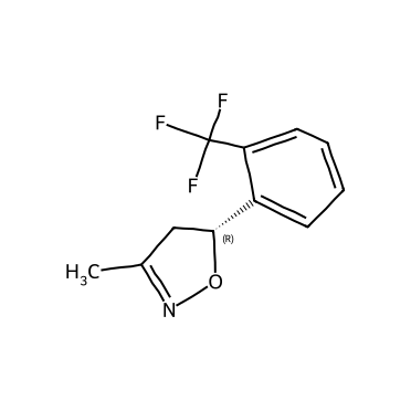 CC1=NO[C@@H](c2ccccc2C(F)(F)F)C1